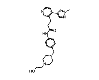 Cn1cc(-c2ccncc2CCC(=O)Nc2ccc(CN3CCN(CCO)CC3)cc2)cn1